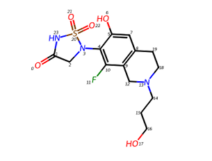 O=C1CN(c2c(O)cc3c(c2F)CN(CCCO)CC3)S(=O)(=O)N1